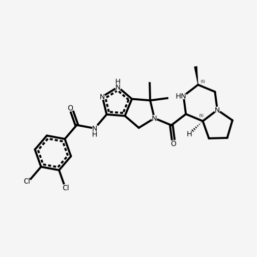 C[C@H]1CN2CCC[C@H]2C(C(=O)N2Cc3c(NC(=O)c4ccc(Cl)c(Cl)c4)n[nH]c3C2(C)C)N1